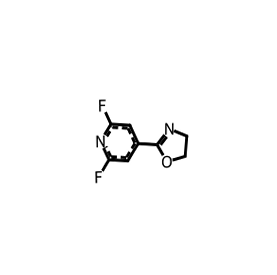 Fc1cc(C2=NCCO2)cc(F)n1